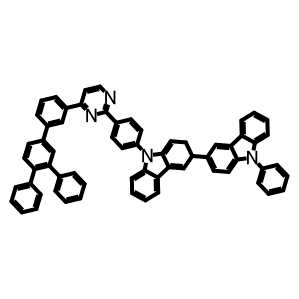 C1=c2c(n(-c3ccc(-c4nccc(-c5cccc(-c6ccc(-c7ccccc7)c(-c7ccccc7)c6)c5)n4)cc3)c3ccccc23)=CCC1c1ccc2c(c1)c1ccccc1n2-c1ccccc1